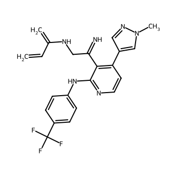 C=CC(=C)NCC(=N)c1c(-c2cnn(C)c2)ccnc1Nc1ccc(C(F)(F)F)cc1